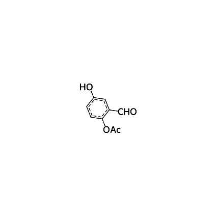 CC(=O)Oc1ccc(O)cc1C=O